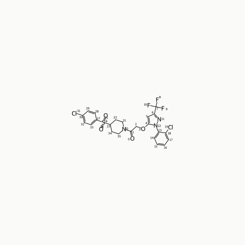 O=C(COc1cc(C(F)(F)F)nn1-c1ccccc1Cl)N1CCC(S(=O)(=O)c2ccc(Cl)cc2)CC1